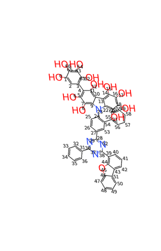 Oc1cc(-c2c(O)c(O)c3c(c2O)c2c(O)c(O)c(O)c(O)c2n3-c2ccc(-c3nc(-c4ccccc4)nc(-c4cccc5c4oc4ccccc45)n3)cc2-c2ccccc2)c(O)c(O)c1O